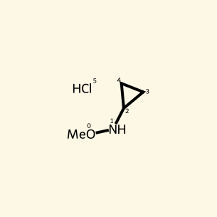 CONC1CC1.Cl